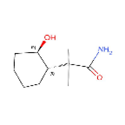 CC(C)(C(N)=O)[C@@H]1CCCC[C@H]1O